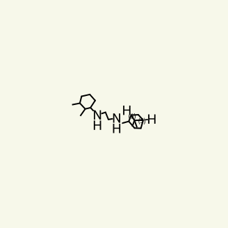 CC1CCCC(NCCNCC2CC[C@H]3C[C@@H]2C3(C)C)C1C